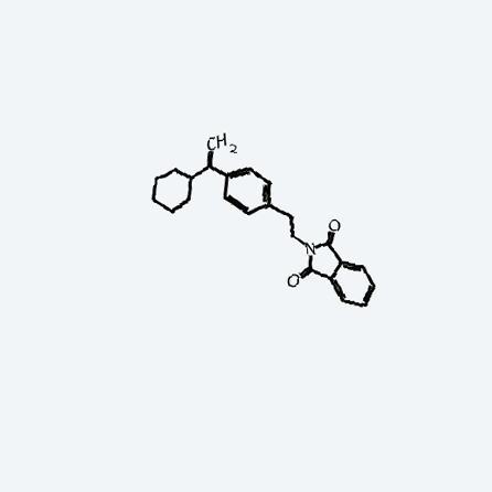 C=C(c1ccc(CCN2C(=O)c3ccccc3C2=O)cc1)C1CCCCC1